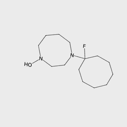 ON1CCCCN(C2(F)CCCCCCC2)CC1